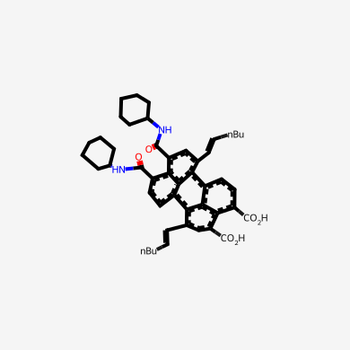 CCCCC=Cc1cc(C(=O)O)c2c(C(=O)O)ccc3c4c(C=CCCCC)cc(C(=O)NC5CCCCC5)c5c(C(=O)NC6CCCCC6)ccc(c1c23)c54